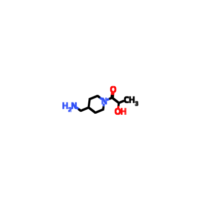 CC(O)C(=O)N1CCC(CN)CC1